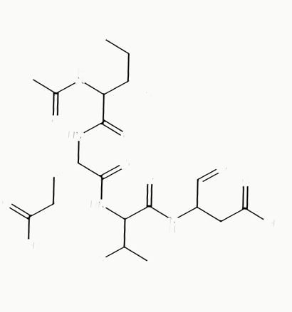 CC[C@H](C)C(NC(C)=O)C(=O)N[C@@H](CCC(=O)O)C(=O)NC(C(=O)NC(C=O)CC(=O)O)C(C)O